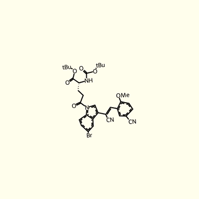 COc1ccc(C#N)cc1/C=C(\C#N)c1cn(C(=O)CC[C@@H](NC(=O)OC(C)(C)C)C(=O)OC(C)(C)C)c2ccc(Br)cc12